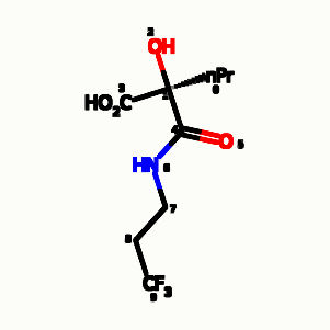 CCC[C@@](O)(C(=O)O)C(=O)NCCC(F)(F)F